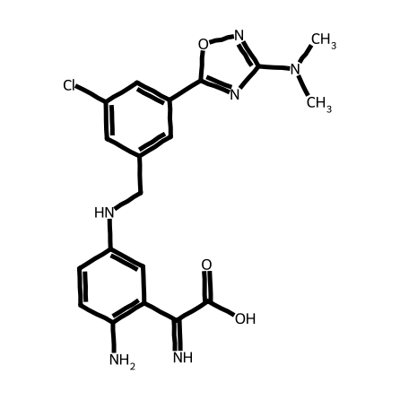 CN(C)c1noc(-c2cc(Cl)cc(CNc3ccc(N)c(C(=N)C(=O)O)c3)c2)n1